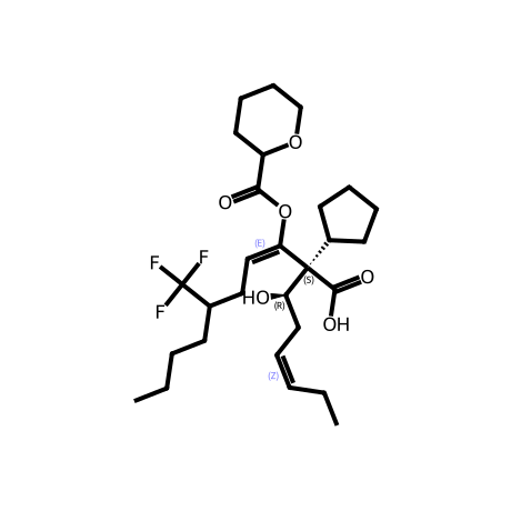 CC/C=C\C[C@@H](O)[C@](C(=O)O)(/C(=C\CC(CCCC)C(F)(F)F)OC(=O)C1CCCCO1)C1CCCC1